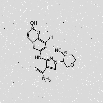 N#C[C@H]1CCOCC1n1cc(C(N)=O)c(Nc2cc(Cl)c3c(c2)C=CB(O)O3)n1